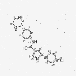 O=C(Nc1ccc([C@H]2CNCCO2)cc1)c1cc(-c2ccc(Cl)cc2)n[nH]1